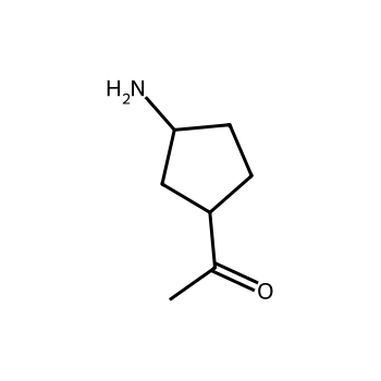 CC(=O)C1CCC(N)C1